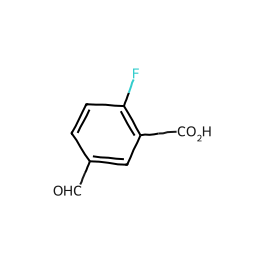 O=Cc1ccc(F)c(C(=O)O)c1